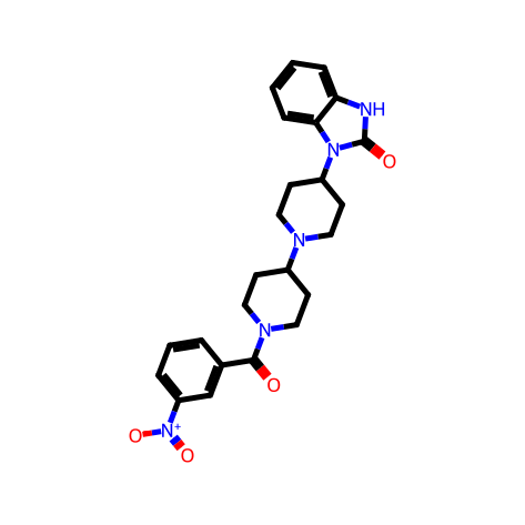 O=C(c1cccc([N+](=O)[O-])c1)N1CCC(N2CCC(n3c(=O)[nH]c4ccccc43)CC2)CC1